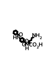 NCCCC[C@@H](NS(=O)(=O)c1ccc(NC(=O)c2ccccc2)cc1)C(=O)O